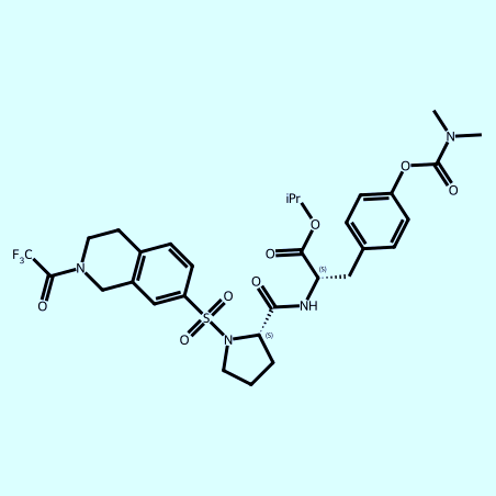 CC(C)OC(=O)[C@H](Cc1ccc(OC(=O)N(C)C)cc1)NC(=O)[C@@H]1CCCN1S(=O)(=O)c1ccc2c(c1)CN(C(=O)C(F)(F)F)CC2